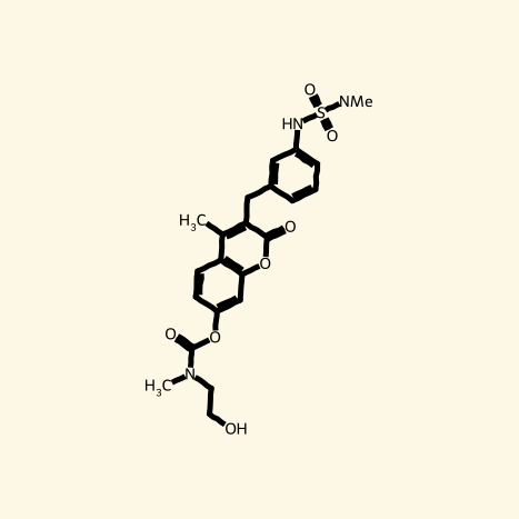 CNS(=O)(=O)Nc1cccc(Cc2c(C)c3ccc(OC(=O)N(C)CCO)cc3oc2=O)c1